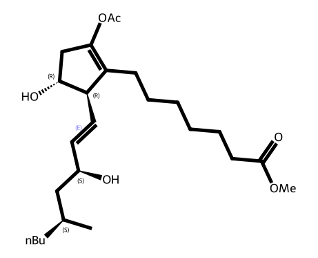 CCCC[C@H](C)C[C@H](O)/C=C/[C@@H]1C(CCCCCCC(=O)OC)=C(OC(C)=O)C[C@H]1O